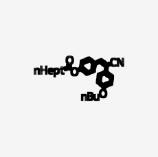 CCCCCCCC(=O)Oc1ccc(C=C(C#N)c2ccc(OCCCC)cc2)cc1